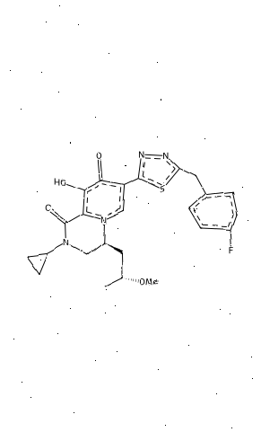 CO[C@H](C)C[C@H]1CN(C2CC2)C(=O)c2c(O)c(=O)c(-c3nnc(Cc4ccc(F)cc4)s3)cn21